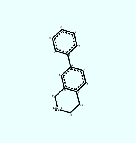 c1ccc(-c2ccc3c(c2)CNCC3)cc1